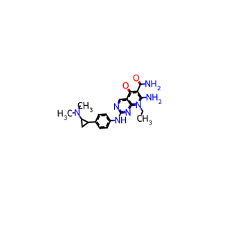 CCn1c(N)c(C(N)=O)c(=O)c2cnc(Nc3ccc(C4CC4N(C)C)cc3)nc21